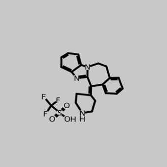 O=S(=O)(O)C(F)(F)F.c1ccc2c(c1)CCn1c(nc3ccccc31)C2=C1CCNCC1